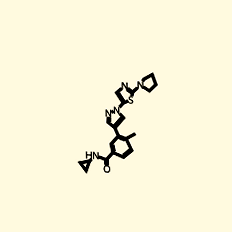 Cc1ccc(C(=O)NC2CC2)cc1-c1cnn(-c2cnc(N3CCCC3)s2)c1